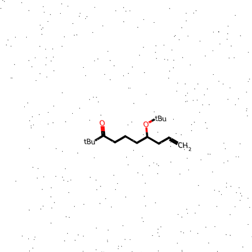 C=CCC(CCCC(=O)C(C)(C)C)OC(C)(C)C